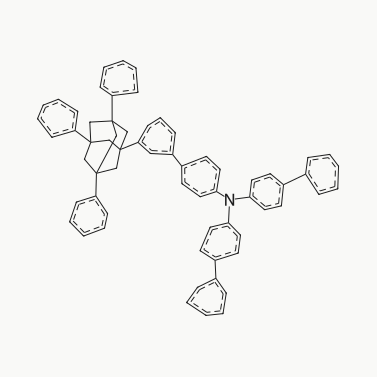 c1ccc(-c2ccc(N(c3ccc(-c4ccccc4)cc3)c3ccc(-c4cccc(C56CC7(c8ccccc8)CC(c8ccccc8)(CC(c8ccccc8)(C7)C5)C6)c4)cc3)cc2)cc1